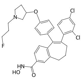 O=C(NO)c1ccc2c(c1)CCCC(c1ccc(Cl)cc1Cl)=C2c1ccc(OC2CCN(CCCF)C2)cc1